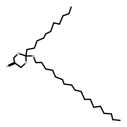 CCCCCCCCCCCCCCCCCCOC1(CCCCCCCCCCC)OCC(=O)CO1